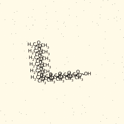 C=C(C)C(=O)OC.C=C(C)C(=O)OC.C=C(C)C(=O)OC.C=C(C)C(=O)OC.C=C(C)C(=O)OC.C=C(C)C(=O)OC.C=C(C)C(=O)OC.C=C(C)C(=O)OC.C=C(C)C(=O)OC.C=C(C)C(=O)OCCO